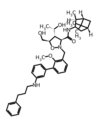 COc1c(CN2O[C@@H](CO)[C@H]([C@H](C)O)[C@H]2C(=O)NC2C[C@H]3C[C@@H]([C@@H]2C)C3(C)C)cccc1-c1cccc(NCCCc2ccccc2)c1